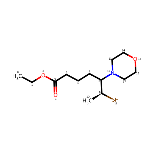 CCOC(=O)CCCC([C@H](C)S)N1CCOCC1